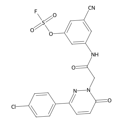 N#Cc1cc(NC(=O)Cn2nc(-c3ccc(Cl)cc3)ccc2=O)cc(OS(=O)(=O)F)c1